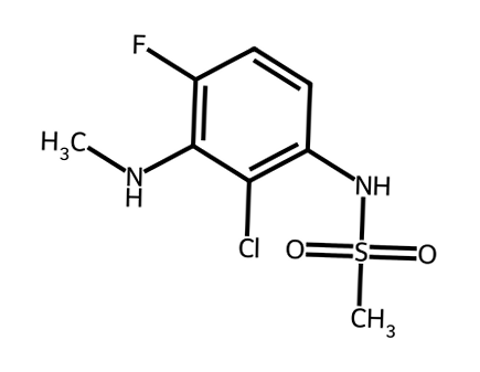 CNc1c(F)ccc(NS(C)(=O)=O)c1Cl